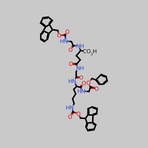 O=C(CCC(NC(=O)CNC(=O)OCC1c2ccccc2-c2ccccc21)C(=O)O)NCC(=O)NC(CCCCNC(=O)OCC1c2ccccc2-c2ccccc21)C(=O)NCC(=O)OCc1ccccc1